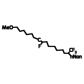 CCCCCCCCCC(CCCCCCC(F)CCCCCCCOC)C(F)(F)F